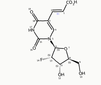 O=C(O)/C=C/c1cn([C@H]2O[C@@H](CO)[C@H](O)[C@@H]2F)c(=O)[nH]c1=O